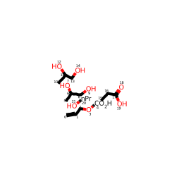 C=CCOC(=O)O.CC(O)CO.CC(O)CO.CCC(=O)O.CCCO